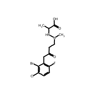 CC(NN(C)CCC(=O)Cc1c(F)ccc(Cl)c1Br)C(=O)O